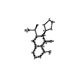 C[C@H](N)c1nc2cccc(Cl)c2c(=O)n1[C@H]1CCOC1